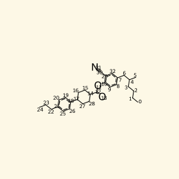 CCCCC(C)Cc1ccc(OC(=O)C2CCC(c3ccc(CCC)cc3)CC2)c(C#N)c1